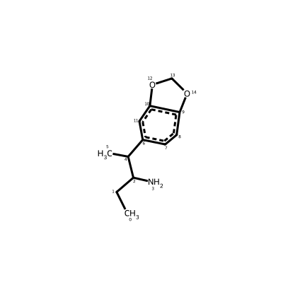 CCC(N)C(C)c1ccc2c(c1)OCO2